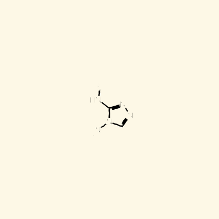 Nn1cnnc1NCl